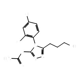 NC(=O)Sc1nnc(CCCO)n1-c1ccc(Cl)cc1Cl